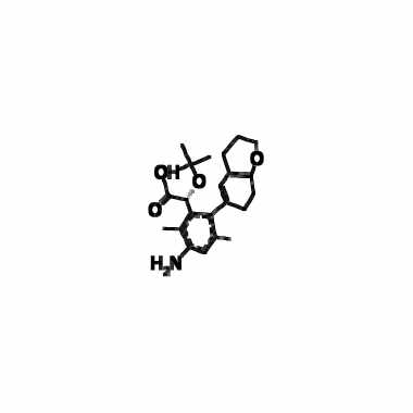 Cc1cc(N)c(C)c([C@@H](OC(C)(C)C)C(=O)O)c1C1=CC2=C(CC1)OCCC2